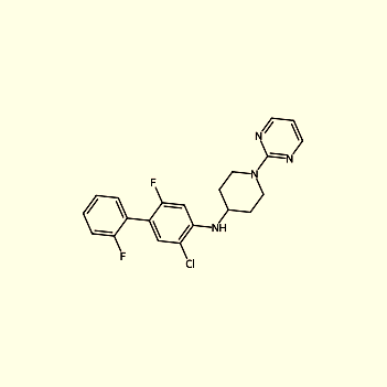 Fc1ccccc1-c1cc(Cl)c(NC2CCN(c3ncccn3)CC2)cc1F